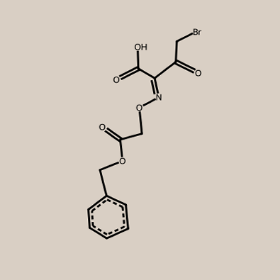 O=C(CO/N=C(\C(=O)O)C(=O)CBr)OCc1ccccc1